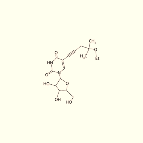 CCOC(C)(C)CC#Cc1cn(C2OC(CO)C(O)C2O)c(=O)[nH]c1=O